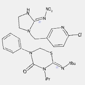 CC(C)N1C(=O)N(c2ccccc2)CS/C1=N\C(C)(C)C.O=[N+]([O-])/N=C1\NCCN1Cc1ccc(Cl)nc1